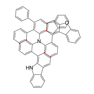 c1ccc(-c2cc3c(c(N(c4ccccc4-c4cccc5c4[nH]c4ccccc45)c4ccccc4-c4cccc5oc6ccccc6c45)c2-c2ccccc2)Cc2ccccc2-3)cc1